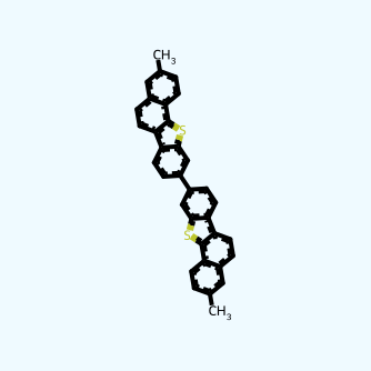 Cc1ccc2c(ccc3c4ccc(-c5ccc6c(c5)sc5c7ccc(C)cc7ccc65)cc4sc23)c1